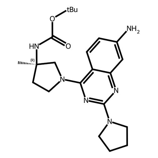 CC(C)(C)OC(=O)N[C@]1(C)CCN(c2nc(N3CCCC3)nc3cc(N)ccc23)C1